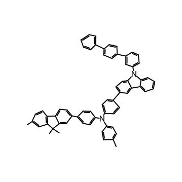 Cc1ccc(N(c2ccc(-c3ccc4c(c3)C(C)(C)c3cc(C)ccc3-4)cc2)c2ccc(-c3ccc4c(c3)c3ccccc3n4-c3cccc(-c4ccc(-c5ccccc5)cc4)c3)cc2)cc1